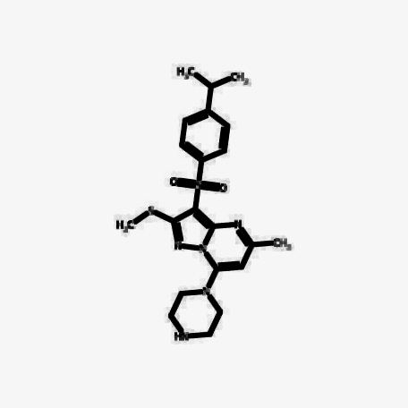 CSc1nn2c(N3CCNCC3)cc(C)nc2c1S(=O)(=O)c1ccc(C(C)C)cc1